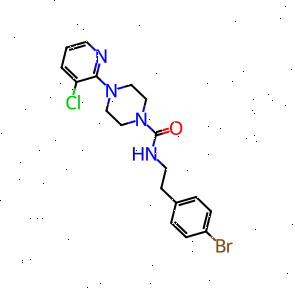 O=C(NCCc1ccc(Br)cc1)N1CCN(c2ncccc2Cl)CC1